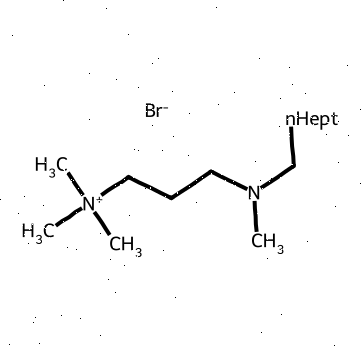 CCCCCCCCN(C)CCC[N+](C)(C)C.[Br-]